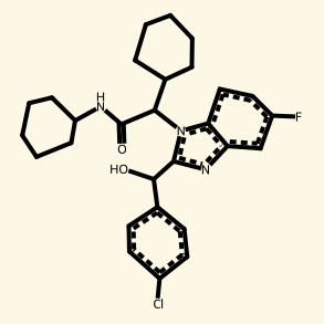 O=C(NC1CCCCC1)C(C1CCCCC1)n1c(C(O)c2ccc(Cl)cc2)nc2cc(F)ccc21